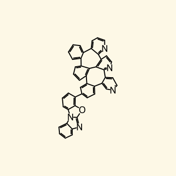 c1ccc2c(c1)nc1oc3c(-c4ccc5c(c4)c4cccc6c4-c4c(ccnc4c4ccncc45)c4ncccc4c4ccccc64)cccc3n12